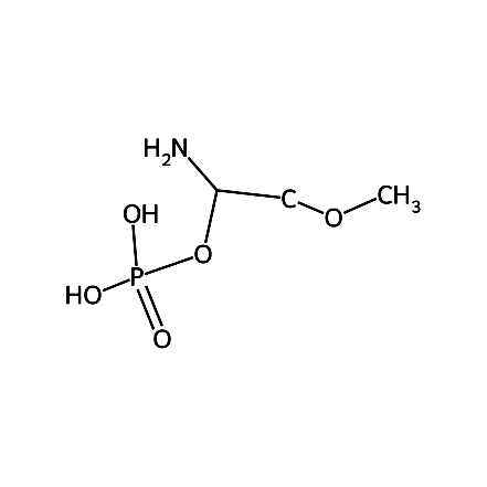 COCC(N)OP(=O)(O)O